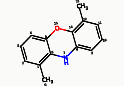 Cc1cccc2c1Nc1cccc(C)c1O2